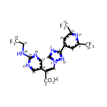 O=C(O)/C(=C/n1cnc(-c2cc(C(F)(F)F)nc(C(F)(F)F)c2)n1)c1cnc(NCC(F)(F)F)nc1